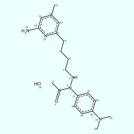 CC(=O)N(NCCCCc1cc(C)cc(N)n1)c1ccc(N(C)C)cc1.Cl